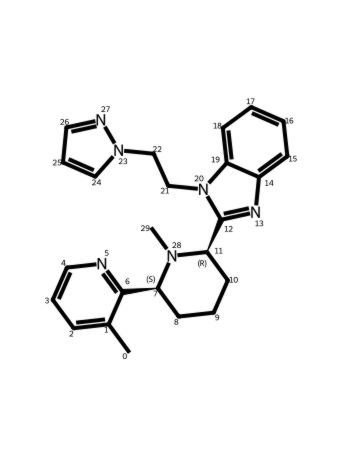 Cc1cccnc1[C@@H]1CCC[C@H](c2nc3ccccc3n2CCn2cccn2)N1C